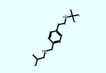 CC(C)CNCc1ccc(CCNC(C)(C)C)cc1